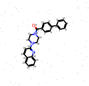 O=C(c1ccc(-c2ccccc2)cc1)N1CCN(c2ccc3ccccc3n2)CC1